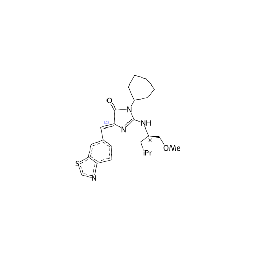 COC[C@@H](CC(C)C)NC1=N/C(=C\c2ccc3ncsc3c2)C(=O)N1C1CCCCC1